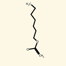 C=C(Cl)OCCCCCCC